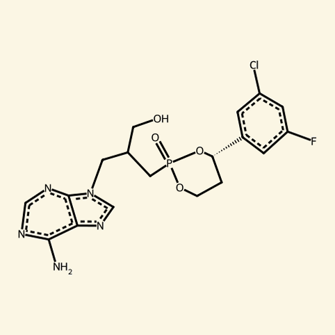 Nc1ncnc2c1ncn2CC(CO)CP1(=O)OCC[C@@H](c2cc(F)cc(Cl)c2)O1